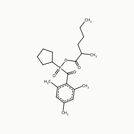 CCCCC(C)C(=O)OP(=O)(C(=O)c1c(C)cc(C)cc1C)C1CCCC1